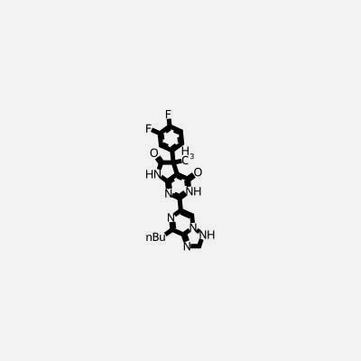 CCCCC1=NC(c2nc3c(c(=O)[nH]2)C(C)(c2ccc(F)c(F)c2)C(=O)N3)=CN2NCN=C12